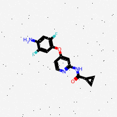 Nc1cc(F)c(Oc2ccnc(NC(=O)C3CC3)c2)cc1F